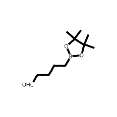 CC1(C)OB(CCCCC=O)OC1(C)C